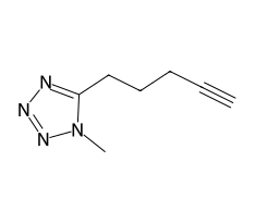 C#CCCCc1nnnn1C